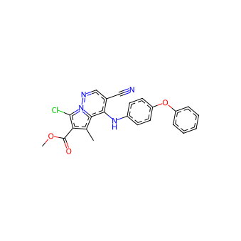 COC(=O)c1c(C)c2c(Nc3ccc(Oc4ccccc4)cc3)c(C#N)cnn2c1Cl